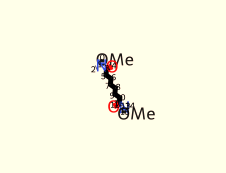 CON(C)C(=O)CCCCCCC(=O)N(C)OC